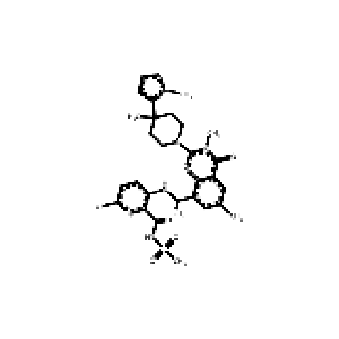 Cc1cc([C@@H](C)Nc2ccc(Cl)nc2C(=O)NS(C)(=O)=O)c2nc(N3CCC(C)(c4ccnn4C)CC3)n(C)c(=O)c2c1